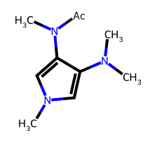 CC(=O)N(C)c1cn(C)cc1N(C)C